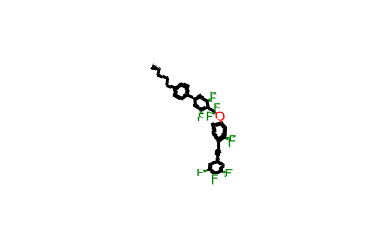 CCCCCc1ccc(-c2cc(F)c(C(F)(F)Oc3ccc(C#Cc4cc(F)c(F)c(F)c4)c(F)c3)c(F)c2)cc1